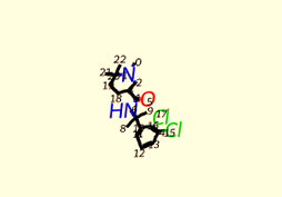 CN1CC(C(=O)NC(C)(C)c2cccc(Cl)c2Cl)CCC1(C)C